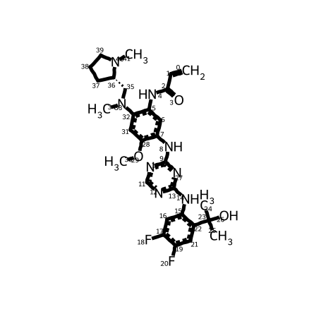 C=CC(=O)Nc1cc(Nc2ncnc(Nc3cc(F)c(F)cc3C(C)(C)O)n2)c(OC)cc1N(C)C[C@@H]1CCCN1C